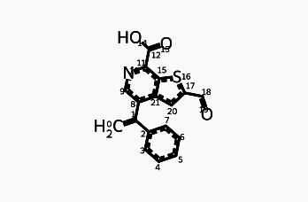 C=C(c1ccccc1)c1cnc(C(=O)O)c2sc(C=O)cc12